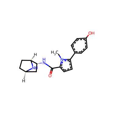 Cn1c(C(=O)N[C@@H]2C[C@H]3CC[C@@H]2N3)ccc1-c1ccc(O)cc1